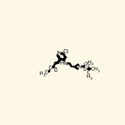 CCOC(=O)C=Cc1cnc(Cl)cc1NCCC1CN(C(=O)OC(C)(C)C)C1